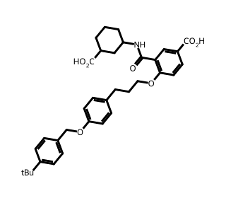 CC(C)(C)c1ccc(COc2ccc(CCCOc3ccc(C(=O)O)cc3C(=O)NC3CCCC(C(=O)O)C3)cc2)cc1